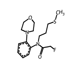 CSCCCN(C(=O)CF)c1ccccc1N1CCOCC1